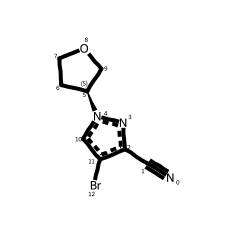 N#Cc1nn([C@H]2CCOC2)cc1Br